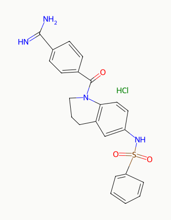 Cl.N=C(N)c1ccc(C(=O)N2CCCc3cc(NS(=O)(=O)c4ccccc4)ccc32)cc1